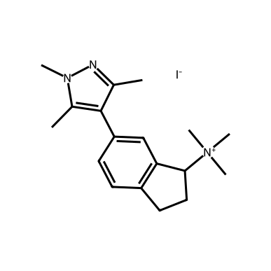 Cc1nn(C)c(C)c1-c1ccc2c(c1)C([N+](C)(C)C)CC2.[I-]